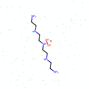 NCCNCCNCCNCCN.OO.[Ti]